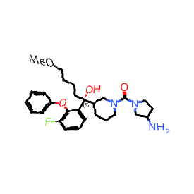 COCCCC[C@@](O)(c1cccc(F)c1Oc1ccccc1)C1CCCN(C(=O)N2CCC(N)C2)C1